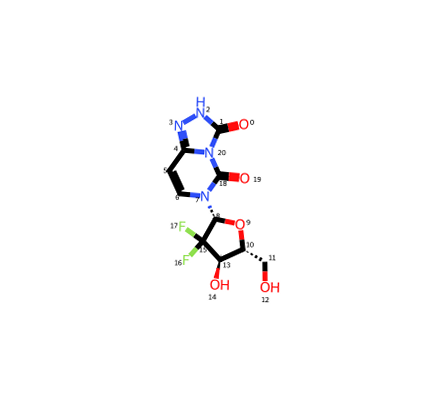 O=c1[nH]nc2ccn([C@@H]3O[C@H](CO)[C@@H](O)C3(F)F)c(=O)n12